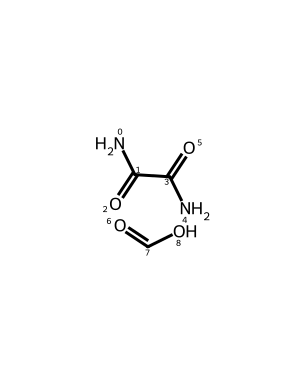 NC(=O)C(N)=O.O=CO